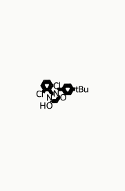 CC(C)(C)c1ccc(Cn2c(-c3c(Cl)cccc3Cl)nc(O)cc2=O)cc1